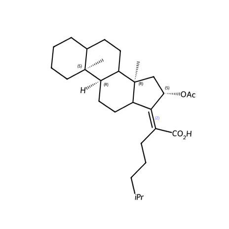 CC(=O)O[C@H]1C[C@@]2(C)C(CC[C@@H]3C2CCC2CCCC[C@@]23C)/C1=C(\CCCC(C)C)C(=O)O